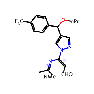 CCCOC(c1ccc(C(F)(F)F)cc1)c1cnn(C(=C/C=O)/N=C(/C)NC)c1